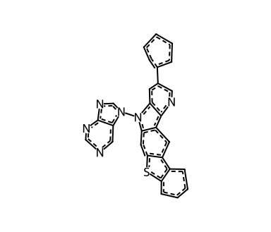 c1ccc(-c2cnc3c4cc5c(cc4n(-n4cnc6ncncc64)c3c2)sc2ccccc25)cc1